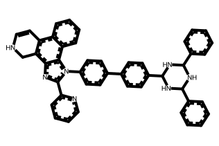 C1=Cc2c(c3nc(-c4ccccn4)n(-c4ccc(-c5ccc(C6NC(c7ccccc7)NC(c7ccccc7)N6)cc5)cc4)c3c3ccccc23)CN1